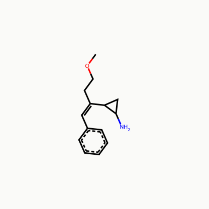 COCCC(=Cc1ccccc1)C1CC1N